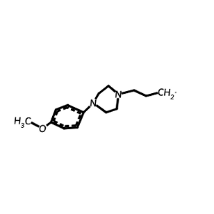 [CH2]CCN1CCN(c2ccc(OC)cc2)CC1